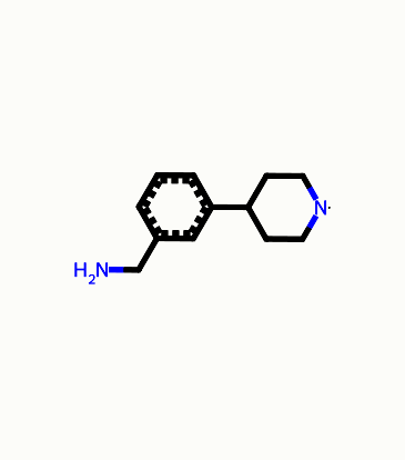 NCc1cccc(C2CC[N]CC2)c1